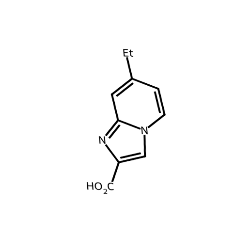 CCc1ccn2cc(C(=O)O)nc2c1